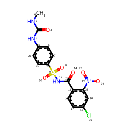 CNC(=O)Nc1ccc(S(=O)(=O)NC(=O)c2ccc(Cl)cc2[N+](=O)[O-])cc1